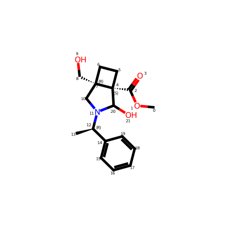 COC(=O)[C@@]12CC[C@]1(CO)CN([C@H](C)c1ccccc1)C2O